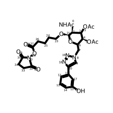 CC(=O)N[C@H]1C(OC(C)=O)[C@@H](OC(C)=O)C(Cn2cc(-c3cccc(O)c3)nn2)O[C@H]1OCCCCC(=O)ON1C(=O)CCC1=O